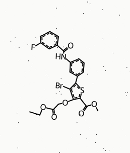 CCOC(=O)COc1c(C(=O)OC)sc(-c2cccc(NC(=O)c3cccc(F)c3)c2)c1Br